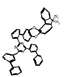 CC1(C)c2ccccc2-c2c1ccc1c2Oc2cc(-c3ccccc3-c3nc(-c4cccc(-c5ccccc5)c4)nc(-c4cccc(-c5ccccc5)c4)n3)ccc2O1